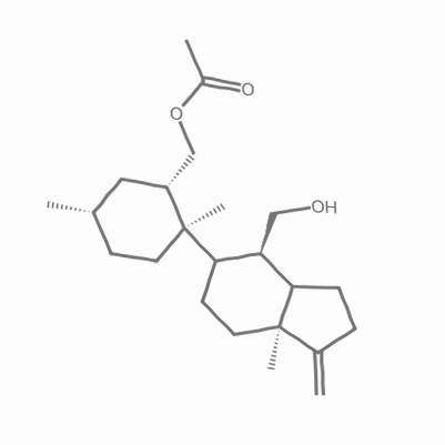 C=C1CCC2[C@H](CO)C([C@@]3(C)CC[C@H](C)C[C@@H]3COC(C)=O)CC[C@]12C